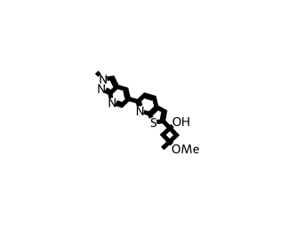 COC1(C)CC(O)(c2cc3ccc(-c4cnc5nn(C)cc5c4)nc3s2)C1